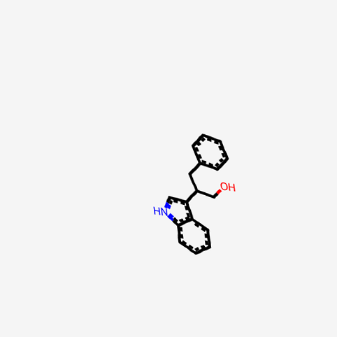 OCC(Cc1ccccc1)c1c[nH]c2ccccc12